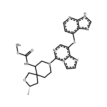 C[C@H]1CC2(CCN(c3ncc(Sc4ccnc5[nH]cnc45)c4nccn34)CC2NC(=O)OC(C)(C)C)CO1